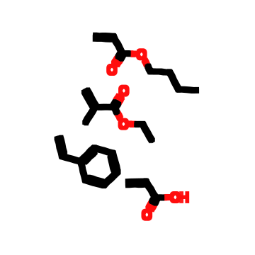 C=C(C)C(=O)OCC.C=CC(=O)O.C=CC(=O)OCCCC.C=Cc1ccccc1